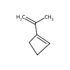 C=C(C)C1=CCC1